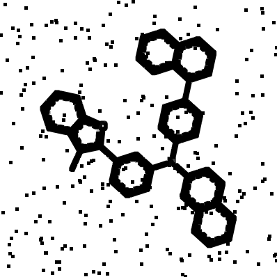 Cc1c(-c2cccc(N(c3ccc(-c4cccc5ccccc45)cc3)c3ccc4ccccc4c3)c2)oc2ccccc12